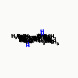 CCCCCCc1cc(-c2ccc(Nc3ccc(-c4c(C)cc(C)cc4C)cc3)cc2)c(CCCCCC)cc1-c1ccc(NC2=CC(C)C(c3c(C)cc(C)cc3C)C=C2)cc1